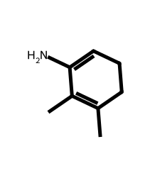 CC1=C(C)C(N)=CCC1